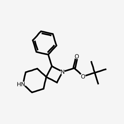 CC(C)(C)OC(=O)N1CC2(CCNCC2)C1c1ccccc1